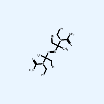 CC(C)CN(C(N)=S)C(C)(CC(C)C)/N=N/C(C)(CC(C)C)N(CC(C)C)C(N)=S